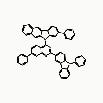 c1ccc(-c2ccc3c(-n4c5cc(-c6ccccc6)ccc5c5cc6ccccc6cc54)nc(-c4ccc5c(c4)c4ccccc4n5-c4ccccc4)nc3c2)cc1